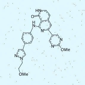 COCCn1cc(-c2ccc(Nc3nc(-c4cnc(OC)nc4)cc4cc[nH]c(=O)c34)cc2)cn1